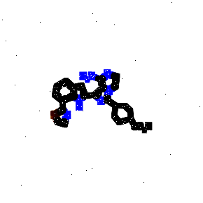 Nc1nccn2c(C3CCC(C(=O)O)CC3)nc(-c3cc4cccc(-c5nccs5)c4[nH]3)c12